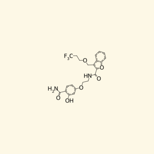 NC(=O)c1ccc(OCCNC(=O)c2oc3ccccc3c2COCCC(F)(F)F)cc1O